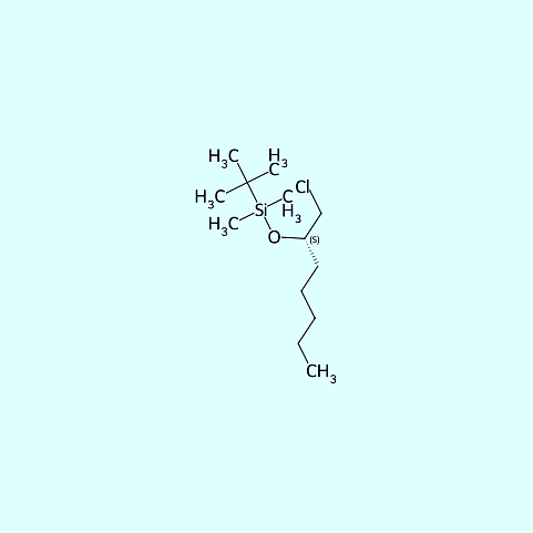 CCCCC[C@@H](CCl)O[Si](C)(C)C(C)(C)C